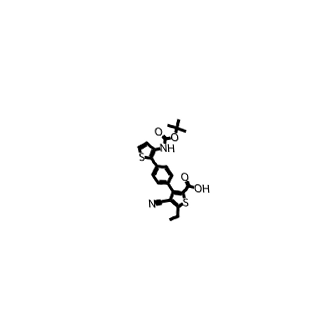 CCc1sc(C(=O)O)c(-c2ccc(-c3sccc3NC(=O)OC(C)(C)C)cc2)c1C#N